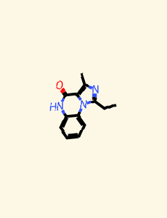 CCc1nc(C)c2c(=O)[nH]c3ccccc3n12